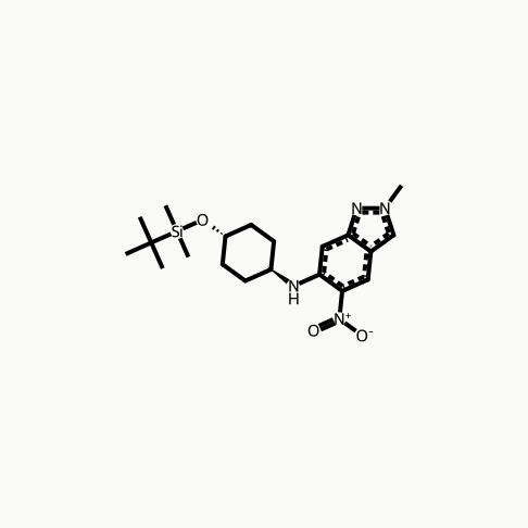 Cn1cc2cc([N+](=O)[O-])c(N[C@H]3CC[C@H](O[Si](C)(C)C(C)(C)C)CC3)cc2n1